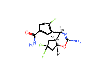 C[C@]1(c2cc(C(N)=O)ccc2F)N=C(N)O[C@@H]2CC(F)(F)C[C@@H]21